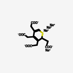 O=C([O-])CC1=CSC(CC(=O)[O-])C(CC(=O)[O-])=C1CC(=O)[O-].[Na+].[Na+].[Na+].[Na+]